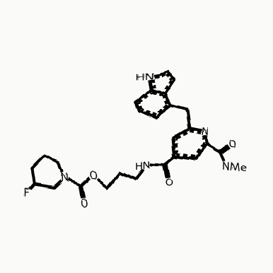 CNC(=O)c1cc(C(=O)NCCCOC(=O)N2CCCC(F)C2)cc(Cc2cccc3[nH]ccc23)n1